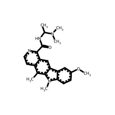 COc1ccc2c(c1)c1cc3c(C(=O)NC(C)N(C)C)nccc3c(C)c1n2C